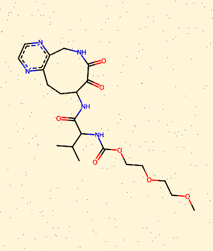 COCCOCCOC(=O)NC(C(=O)NC1CCc2nccnc2CNC(=O)C1=O)C(C)C